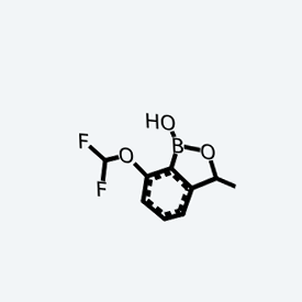 CC1OB(O)c2c(OC(F)F)cccc21